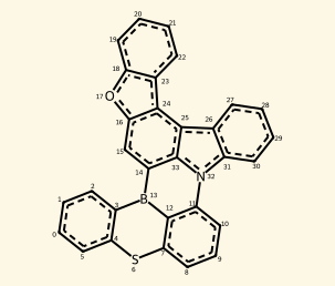 c1ccc2c(c1)Sc1cccc3c1B2c1cc2oc4ccccc4c2c2c4ccccc4n-3c12